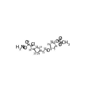 CS(=O)(=O)Oc1ccc(OCCc2ccc(CC(Cl)C(=O)ON)cc2)cc1